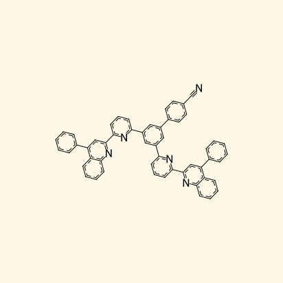 N#Cc1ccc(-c2cc(-c3cccc(-c4cc(-c5ccccc5)c5ccccc5n4)n3)cc(-c3cccc(-c4cc(-c5ccccc5)c5ccccc5n4)n3)c2)cc1